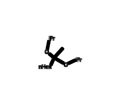 CCCCCCC(C)(OC(C)C)OC(C)C